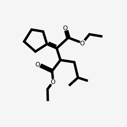 CCOC(=O)C(=C1CCCC1)C(CC(C)C)C(=O)OCC